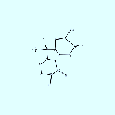 CC1CCC(C(F)(C2CCC(C)C(C)C2)C(F)(F)F)CC1C